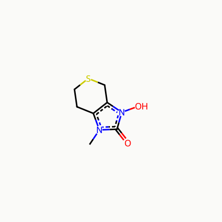 Cn1c2c(n(O)c1=O)CSCC2